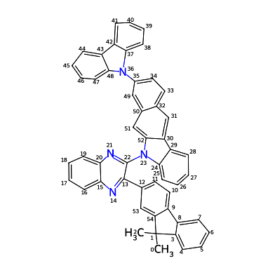 CC1(C)c2ccccc2-c2ccc(-c3nc4ccccc4nc3-n3c4ccccc4c4cc5ccc(-n6c7ccccc7c7ccccc76)cc5cc43)cc21